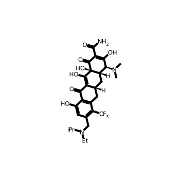 CCN(Cc1cc(O)c2c(c1C(F)(F)F)C[C@H]1C[C@H]3[C@H](N(C)C)C(O)=C(C(N)=O)C(=O)[C@@]3(O)C(O)=C1C2=O)C(C)C